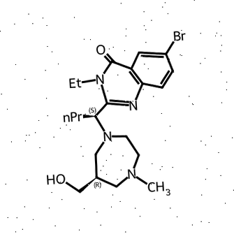 CCC[C@@H](c1nc2ccc(Br)cc2c(=O)n1CC)N1CCN(C)C[C@@H](CO)C1